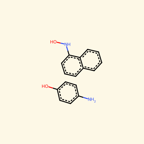 Nc1ccc(O)cc1.ONc1cccc2ccccc12